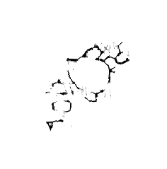 CCn1c(-c2cccnc2[C@H](C)OC)c2c3cc(ccc31)-c1csc(n1)C[C@H](NC(=O)[C@H](C(C)C)N(C)C(=O)N1CCN(C(=O)C3CC3)CC1)C(=O)N1CCC[C@@](O)(N1)C(=O)OCC(C)(C)C2